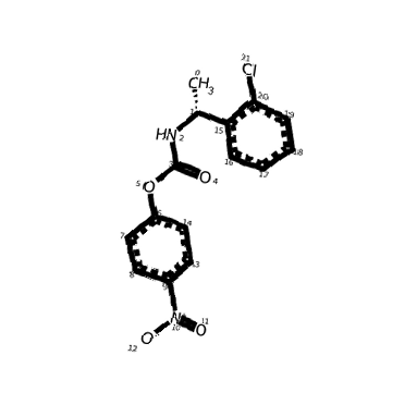 C[C@@H](NC(=O)Oc1ccc([N+](=O)[O-])cc1)c1ccccc1Cl